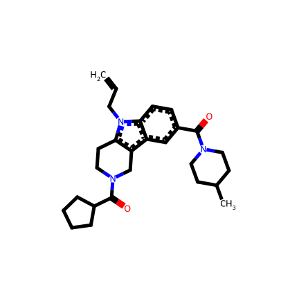 C=CCn1c2c(c3cc(C(=O)N4CCC(C)CC4)ccc31)CN(C(=O)C1CCCC1)CC2